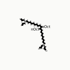 C=CCN(CC=C)CCCCCCCCCC(CCCCCCCC)C(CCCCCCCC)CCCCCCCCCN(CC=C)CC=C